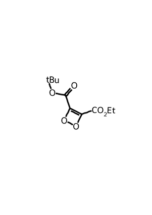 CCOC(=O)c1ooc1C(=O)OC(C)(C)C